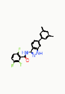 Cc1cc(C)cc(-c2ccc3c(NC(=O)c4c(F)ccc(F)c4F)n[nH]c3c2)c1